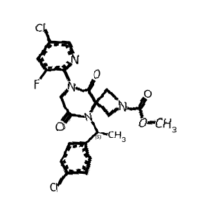 COC(=O)N1CC2(C1)C(=O)N(c1ncc(Cl)cc1F)CC(=O)N2[C@@H](C)c1ccc(Cl)cc1